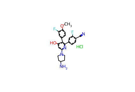 COc1ccc(-c2c(O)cc(N3CCC(N)CC3)nc2-c2ccc(C#N)c(F)c2)cc1F.Cl